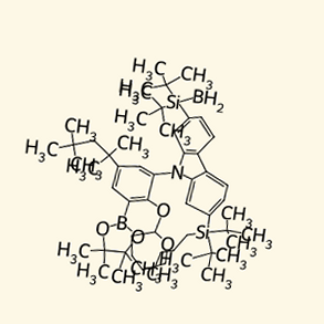 B[Si](c1ccc2c3ccc([Si](CCCC)(C(C)(C)C)C(C)(C)C)cc3n(-c3cc(C(C)(C)CC(C)(C)C)cc(B4OC(C)(C)C(C)(C)O4)c3OC3CCCCO3)c2c1)(C(C)(C)C)C(C)(C)C